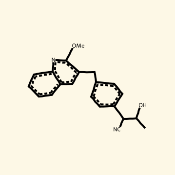 COc1nc2ccccc2cc1Cc1ccc(C(C#N)C(C)O)cc1